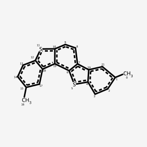 Cc1ccc2sc3c(ccc4sc5ccc(C)cc5c43)c2c1